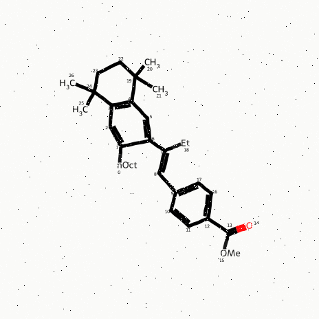 CCCCCCCCc1cc2c(cc1C(=Cc1ccc(C(=O)OC)cc1)CC)C(C)(C)CCC2(C)C